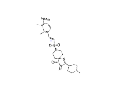 CNc1ccc(/C=C/S(=O)(=O)N2CCC3(CC2)N=C(C2CCC(C)CC2)NC3=O)c(C)c1C